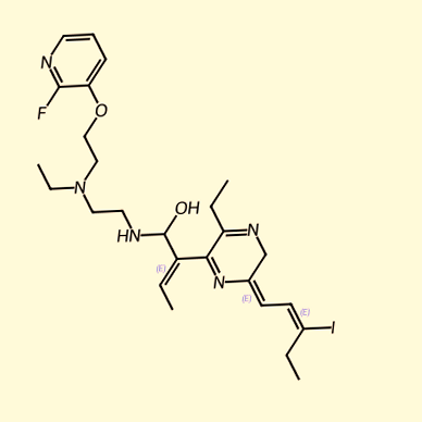 C/C=C(C1=N/C(=C/C=C(/I)CC)CN=C1CC)/C(O)NCCN(CC)CCOc1cccnc1F